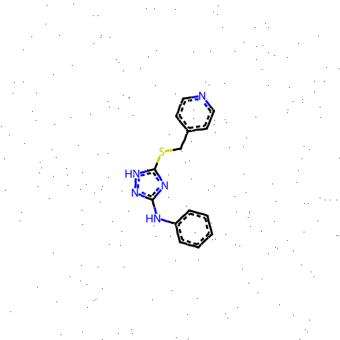 c1ccc(Nc2n[nH]c(SCc3ccncc3)n2)cc1